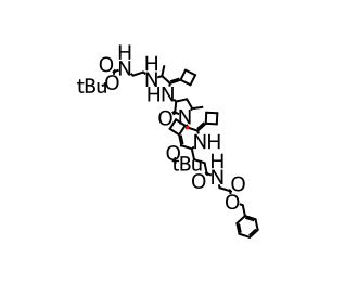 CC(NCCNC(=O)OC(C)(C)C)C(NC1CC(C)N(CC(NC(CCC(=O)NCC(=O)OCc2ccccc2)C(OC(C)(C)C)=C2CCC2)=C2CCC2)C1=O)=C1CCC1